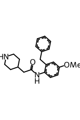 COc1ccc(NC(=O)CC2CCNCC2)c(Cc2ccccc2)c1